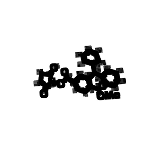 COC(=O)c1ccc(C(=O)ON2C(=O)CCC2=O)cc1C(c1ccccc1)c1ccccc1